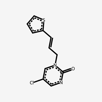 O=c1ncc(Cl)cn1CC=Cc1cccs1